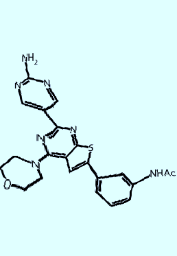 CC(=O)Nc1cccc(-c2cc3c(N4CCOCC4)nc(-c4cnc(N)nc4)nc3s2)c1